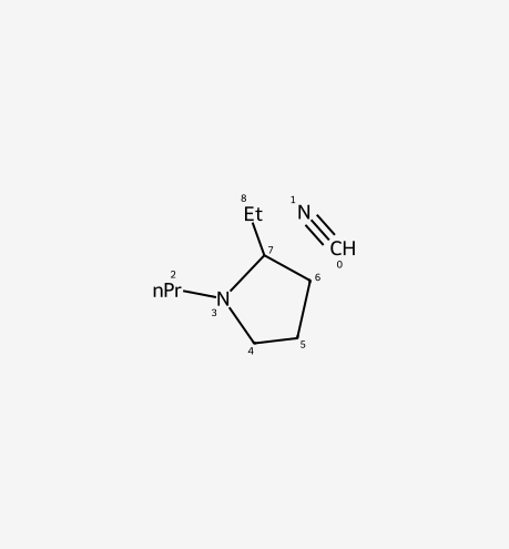 C#N.CCCN1CCCC1CC